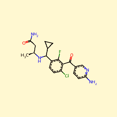 C[C@@H](CC(N)=O)NC(c1ccc(Cl)c(C(=O)c2ccc(N)nc2)c1F)C1CC1